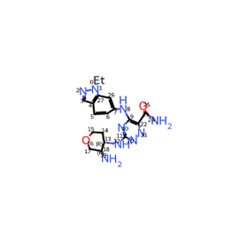 CCn1ncc2ccc(Nc3nc(N[C@@H]4CCOC[C@@H]4N)nnc3C(N)=O)cc21